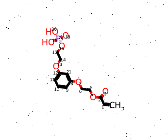 C=CC(=O)OCCOc1cccc(OCCOP(=O)(O)O)c1